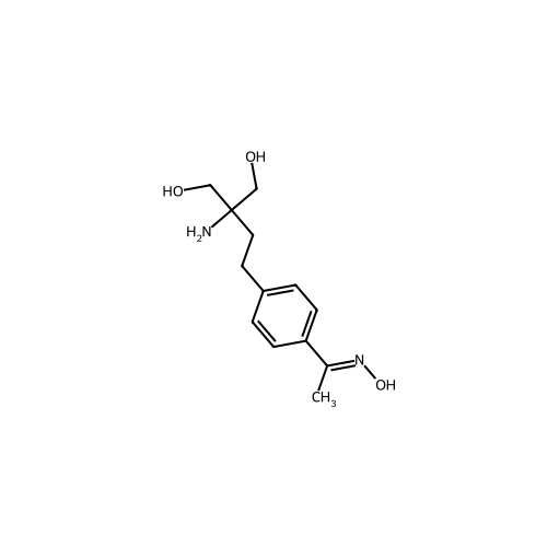 CC(=NO)c1ccc(CCC(N)(CO)CO)cc1